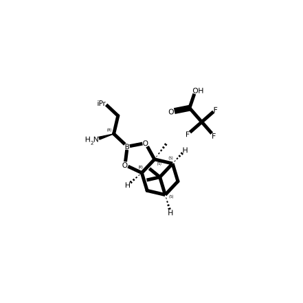 CC(C)C[C@H](N)B1O[C@@H]2C[C@@H]3C[C@@H](C3(C)C)[C@]2(C)O1.O=C(O)C(F)(F)F